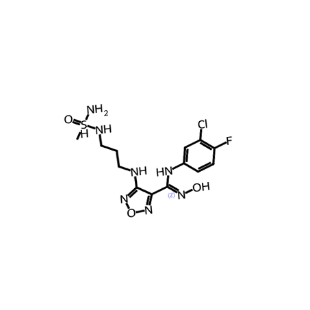 C[SH](N)(=O)NCCCNc1nonc1/C(=N/O)Nc1ccc(F)c(Cl)c1